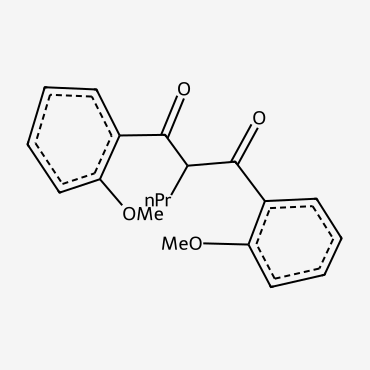 C[CH]CC(C(=O)c1ccccc1OC)C(=O)c1ccccc1OC